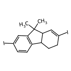 CC1(C)c2cc(I)ccc2C2CCC(I)=CC21